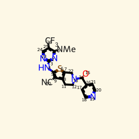 CNc1nc(Nc2sc3c(c2C#N)CCN(C(=O)c2ccncc2)C3)ncc1C(F)(F)F